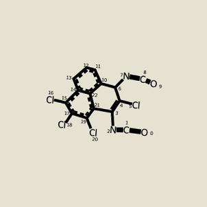 O=C=NC1=C(Cl)C(N=C=O)c2cccc3c(Cl)c(Cl)c(Cl)c1c23